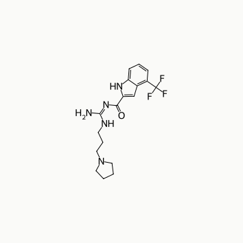 NC(=NC(=O)c1cc2c(C(F)(F)F)cccc2[nH]1)NCCCN1CCCC1